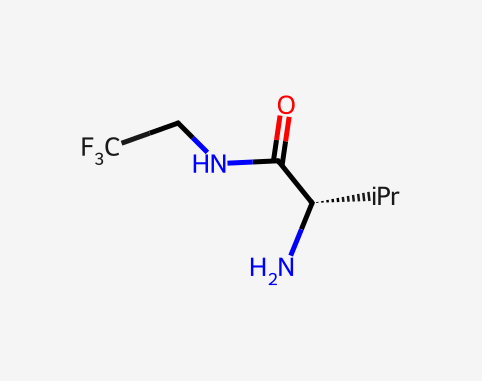 CC(C)[C@H](N)C(=O)NCC(F)(F)F